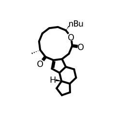 CCCC[C@H]1CCCC[C@@H](C)C(=O)C2=CC3C(CCC4CCC[C@@H]43)C2CC(=O)O1